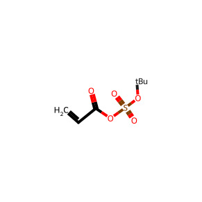 C=CC(=O)OS(=O)(=O)OC(C)(C)C